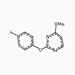 COc1ccnc(Oc2ccc(I)cc2)n1